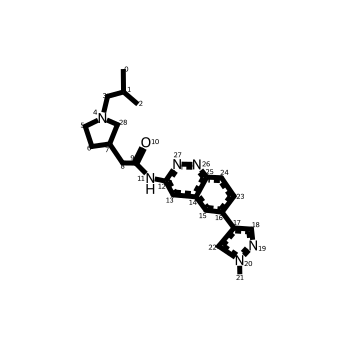 CC(C)CN1CCC(CC(=O)Nc2cc3cc(-c4cnn(C)c4)ccc3nn2)C1